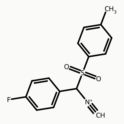 C#[N+]C(c1ccc(F)cc1)S(=O)(=O)c1ccc(C)cc1